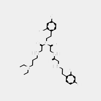 CCN(CC)CCCNCC(=O)N(CCc1ccc(Cl)cc1Cl)C(=O)CNC(=O)CNCCc1ccc(Cl)cc1Cl